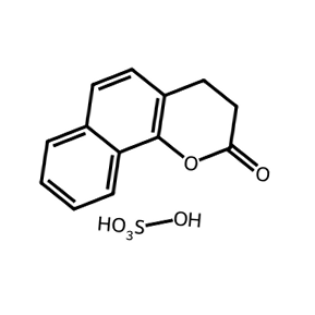 O=C1CCc2ccc3ccccc3c2O1.O=S(=O)(O)O